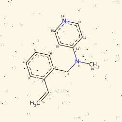 C=Cc1ccccc1CN(C)c1ccncc1